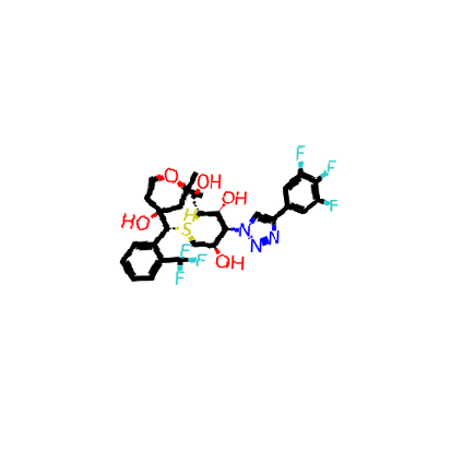 CC1(C)C[C@](O)([C@@H](c2ccccc2C(F)(F)F)[SH]2C[C@H](O)[C@H](n3cc(-c4cc(F)c(F)c(F)c4)nn3)[C@@H](O)[C@H]2CO)CCO1